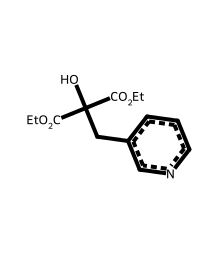 CCOC(=O)C(O)(Cc1cccnc1)C(=O)OCC